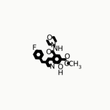 COC(=O)c1cc(C(=O)NN2CCOCC2)c2cc(Cc3ccc(F)cc3)cnc2c1O